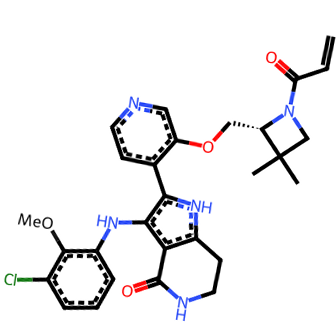 C=CC(=O)N1CC(C)(C)[C@@H]1COc1cnccc1-c1[nH]c2c(c1Nc1cccc(Cl)c1OC)C(=O)NCC2